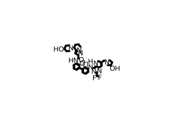 O=C(Nc1cccc(-c2cccc(Nc3nc(C(F)F)nc4cc(CN5CC[C@@H](O)C5)cnc34)c2Cl)c1Cl)c1cc2n(n1)CCC[C@H]2N1CCC(O)CC1